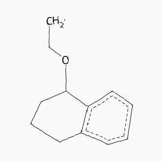 [CH2]COC1CCCc2ccccc21